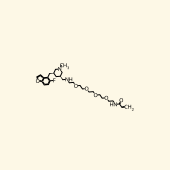 C=CC(=O)NCCOCCOCCOCCOCCNC[C@H]1C[C@@H](Cc2c(F)ccc3occc23)CN(C)C1